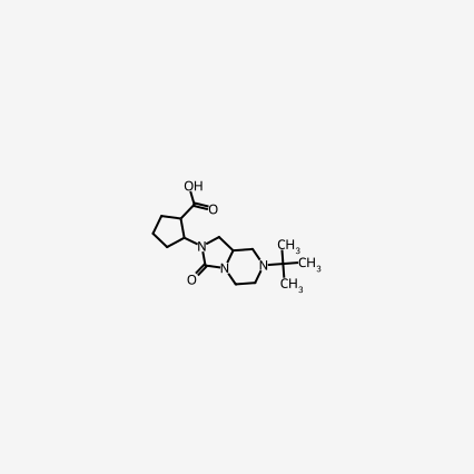 CC(C)(C)N1CCN2C(=O)N(C3CCCC3C(=O)O)CC2C1